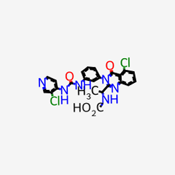 CC(NC(=O)O)c1nc2cccc(Cl)c2c(=O)n1-c1cccc(NC(=O)Nc2ccncc2Cl)c1